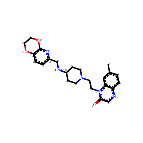 Cc1ccc2ncc(=O)n(CCN3CCC(NCc4ccc5c(n4)OCCO5)CC3)c2c1